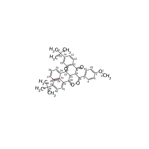 COc1ccc(C(=O)C(C(=O)c2ccc(C(C)(C)C)cc2)C(C(=O)c2ccccc2)C(=O)c2ccc(C(C)(C)C)cc2)cc1